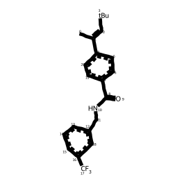 C/C(=C\C(C)(C)C)c1ccc(C(=O)NCc2cccc(C(F)(F)F)c2)cc1